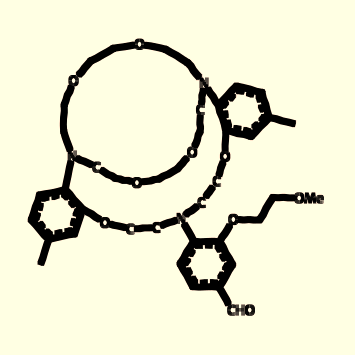 COCCOc1cc(C=O)ccc1N1CCOc2cc(C)ccc2N2CCOCCOCCN(CCOCCOCC2)c2ccc(C)cc2OCC1